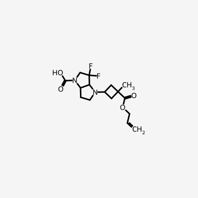 C=CCOC(=O)C1(C)CC(N2CCC3C2C(F)(F)CN3C(=O)O)C1